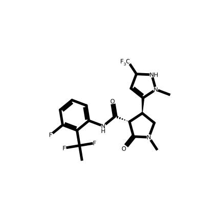 CN1C[C@H](C2=CC(C(F)(F)F)NN2C)[C@@H](C(=O)Nc2cccc(F)c2C(C)(F)F)C1=O